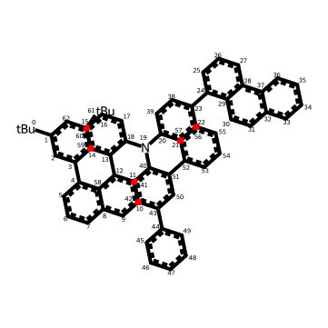 CC(C)(C)c1cc(-c2cccc3cccc(-c4ccccc4N(c4ccc(-c5cccc6c5ccc5ccccc56)cc4)c4ccc(-c5ccccc5)cc4-c4ccccc4)c23)cc(C(C)(C)C)c1